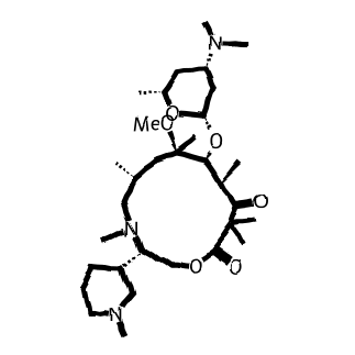 CO[C@]1(C)C[C@@H](C)CN(C)[C@@H](C2CCCN(C)C2)COC(=O)C(C)(C)C(=O)[C@H](C)[C@H]1O[C@H]1C[C@@H](N(C)C)C[C@@H](C)O1